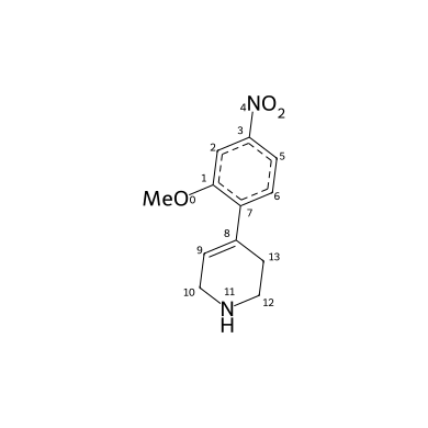 COc1cc([N+](=O)[O-])ccc1C1=CCNCC1